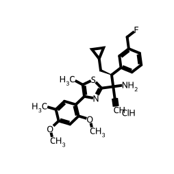 C#CC(N)(c1nc(-c2cc(C)c(OC)cc2OC)c(C)s1)[C@@H](CC1CC1)c1cccc(CF)c1.Cl